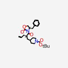 C=CC[C@H](CC1CCN(C(=O)OC(C)(C)C)CC1)C(=O)N1C(=O)OC[C@H]1Cc1ccccc1